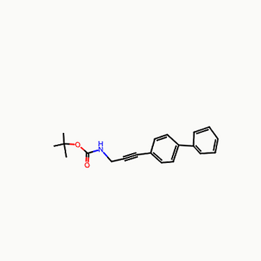 CC(C)(C)OC(=O)NCC#Cc1ccc(-c2ccccc2)cc1